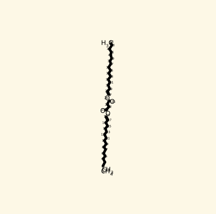 C.CCCCCCCCCCCCCCCCC=COC(=O)CCC(=O)OC=CCCCCCCCCCCCCCCCC